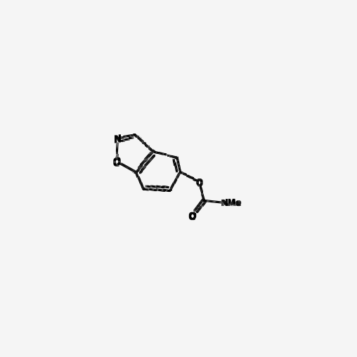 CNC(=O)Oc1ccc2oncc2c1